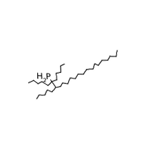 CCCCCCCCCCCCCCCCC(CCCCC)C(P)(CCCCC)CCCCC